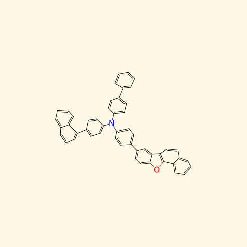 c1ccc(-c2ccc(N(c3ccc(-c4ccc5oc6c7ccccc7ccc6c5c4)cc3)c3ccc(-c4cccc5ccccc45)cc3)cc2)cc1